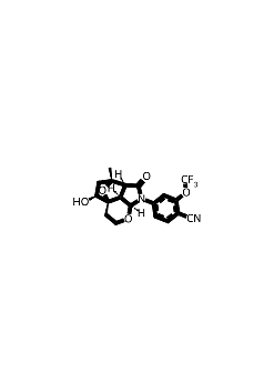 C[C@@]12C[C@H](O)[C@]3(CCO[C@H]4[C@@H]3[C@@H]1C(=O)N4c1ccc(C#N)c(OC(F)(F)F)c1)O2